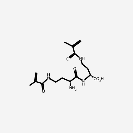 C=C(C)C(=O)NCC[C@H](NC(=O)[C@@H](N)CCNC(=O)C(=C)C)C(=O)O